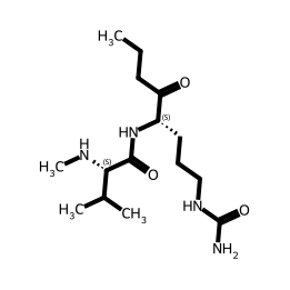 CCCC(=O)[C@H](CCCNC(N)=O)NC(=O)[C@@H](NC)C(C)C